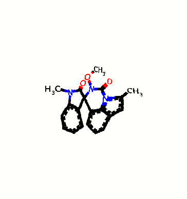 CON1C(=O)n2c(C)cc3cccc(c32)C12C(=O)N(C)c1ccccc12